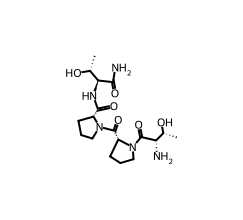 C[C@@H](O)[C@H](N)C(=O)N1CCC[C@@H]1C(=O)N1CCC[C@@H]1C(=O)N[C@H](C(N)=O)[C@@H](C)O